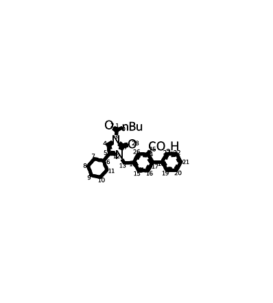 CCCCC(=O)n1cc(C2CCCCC2)n(Cc2ccc(-c3ccccc3)c(C(=O)O)c2)c1=O